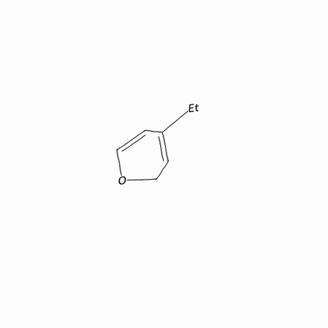 CCC1=CCOC=C1